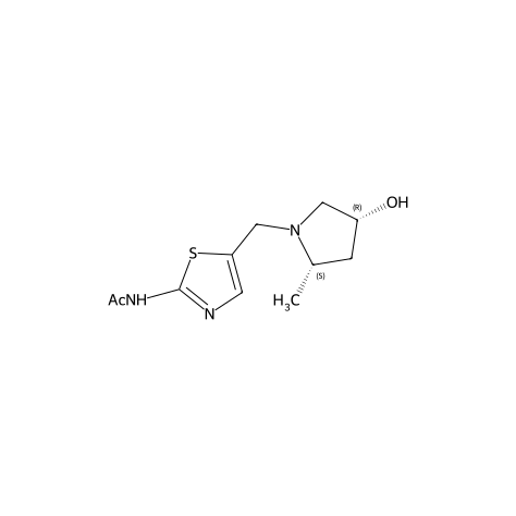 CC(=O)Nc1ncc(CN2C[C@H](O)C[C@@H]2C)s1